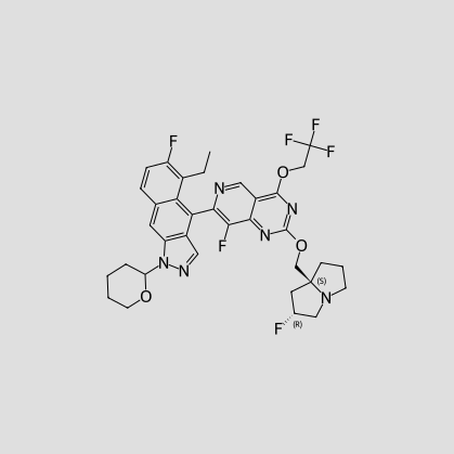 CCc1c(F)ccc2cc3c(cnn3C3CCCCO3)c(-c3ncc4c(OCC(F)(F)F)nc(OC[C@@]56CCCN5C[C@H](F)C6)nc4c3F)c12